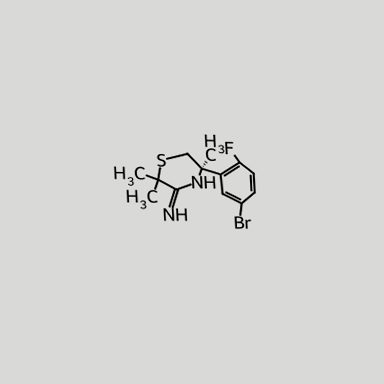 CC1(C)SC[C@@](C)(c2cc(Br)ccc2F)NC1=N